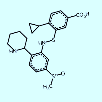 C[S+]([O-])c1ccc(C2CCCCN2)c(NSc2cc(C(=O)O)ccc2C2CC2)c1